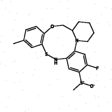 Cc1ccc2c(c1)SNc1cc([S+](C)[O-])c(F)cc1N1CCCCC1CO2